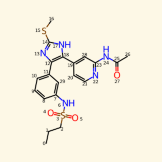 CCCS(=O)(=O)Nc1cccc(-c2nc(SC)[nH]c2-c2ccnc(NC(C)=O)c2)c1